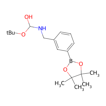 CC(C)(C)OC(O)NCc1cccc(B2OC(C)(C)C(C)(C)O2)c1